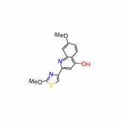 COc1ccc2c(O)cc(-c3csc(OC)n3)nc2c1